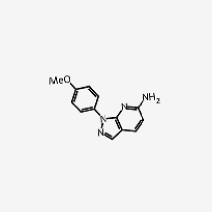 COc1ccc(-n2ncc3ccc(N)nc32)cc1